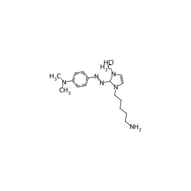 CN(C)c1ccc(N=NC2N(C)C=CN2CCCCCN)cc1.Cl